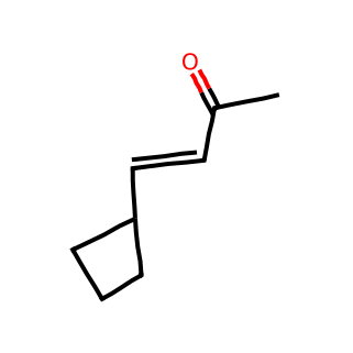 CC(=O)C=CC1CCC1